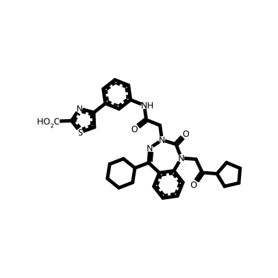 O=C(CN1N=C(C2CCCCC2)c2ccccc2N(CC(=O)C2CCCC2)C1=O)Nc1cccc(-c2csc(C(=O)O)n2)c1